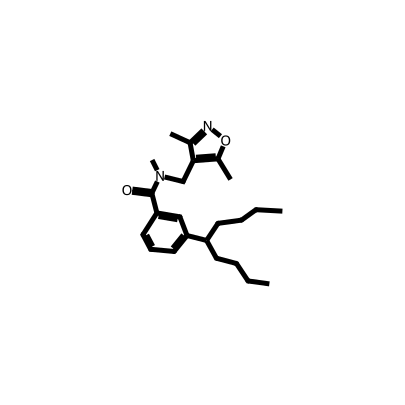 CCCCC(CCCC)c1cccc(C(=O)N(C)Cc2c(C)noc2C)c1